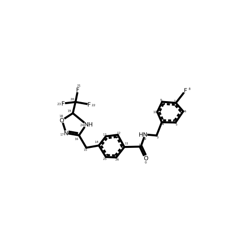 O=C(NCc1ccc(F)cc1)c1ccc(CC2=NOC(C(F)(F)F)N2)cc1